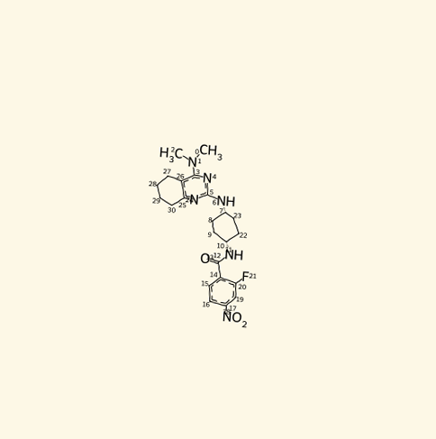 CN(C)c1nc(N[C@H]2CC[C@@H](NC(=O)c3ccc([N+](=O)[O-])cc3F)CC2)nc2c1CCCC2